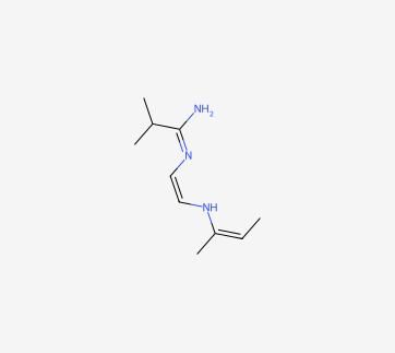 C/C=C(/C)N/C=C\N=C(\N)C(C)C